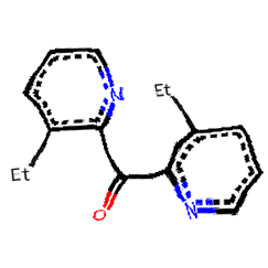 CCc1cccnc1C(=O)c1ncccc1CC